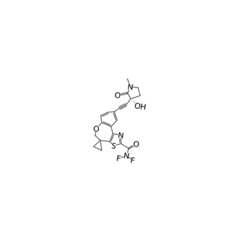 CN1CC[C@@](O)(C#Cc2ccc3c(c2)-c2nc(C(=O)N(F)F)sc2C2(CC2)CO3)C1=O